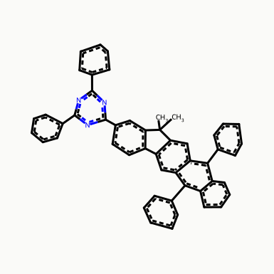 CC1(C)c2cc(-c3nc(-c4ccccc4)nc(-c4ccccc4)n3)ccc2-c2cc3c(-c4ccccc4)c4ccccc4c(-c4ccccc4)c3cc21